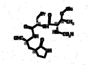 CC(C)C[C@H](NC(=O)[C@@H](NC(=O)O)[C@H](C)OC(C)(C)C)C(=O)N[C@H](C=O)C[C@@H]1CCNC1=O